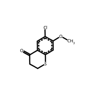 COc1cc2c(cc1Cl)C(=O)CCS2